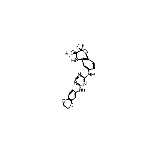 C=C1Nc2cc(Nc3ncnc(Nc4ccc5c(c4)OCCO5)n3)ccc2OC1(F)F